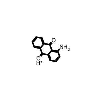 Nc1cccc2c1C(=O)c1ccccc1C2=O.[H+]